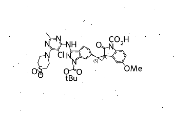 COc1ccc2c(c1)[C@]1(C[C@H]1c1ccc3c(Nc4nc(C)nc(N5CCS(=O)(=O)CC5)c4Cl)nn(C(=O)OC(C)(C)C)c3c1)C(=O)N2C(=O)O